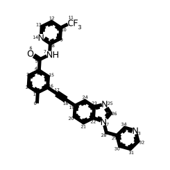 Cc1ccc(C(=O)Nc2cc(C(F)(F)F)ccn2)cc1C#Cc1ccc2c(c1)ncn2Cc1cccnc1